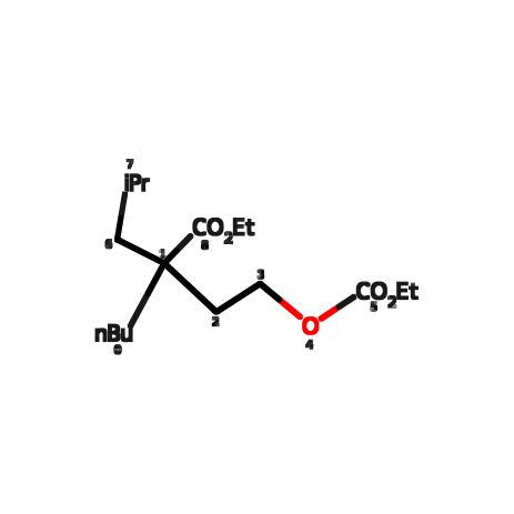 CCCCC(CCOC(=O)OCC)(CC(C)C)C(=O)OCC